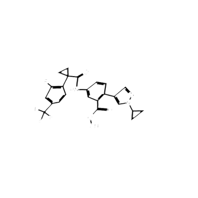 COC(=O)c1cc(NC(=O)C2(c3ccc(C(F)(F)F)cc3F)CC2)ccc1-c1cnn(C2CC2)c1